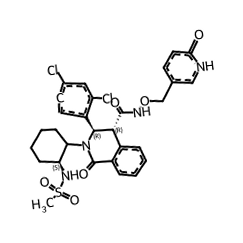 CS(=O)(=O)N[C@H]1CCCCC1N1C(=O)c2ccccc2[C@@H](C(=O)NOCc2ccc(=O)[nH]c2)[C@@H]1c1ccc(Cl)cc1Cl